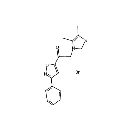 Br.CC1=C(C)N(CC(=O)c2cc(-c3ccccc3)no2)CS1